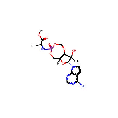 CC(C)OC(=O)[C@H](C)NP1(=O)OCOC2[C@@H](CO1)O[C@@H](n1ccc3c(N)ncnc31)[C@@]2(C)O